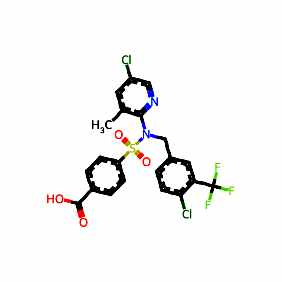 Cc1cc(Cl)cnc1N(Cc1ccc(Cl)c(C(F)(F)F)c1)S(=O)(=O)c1ccc(C(=O)O)cc1